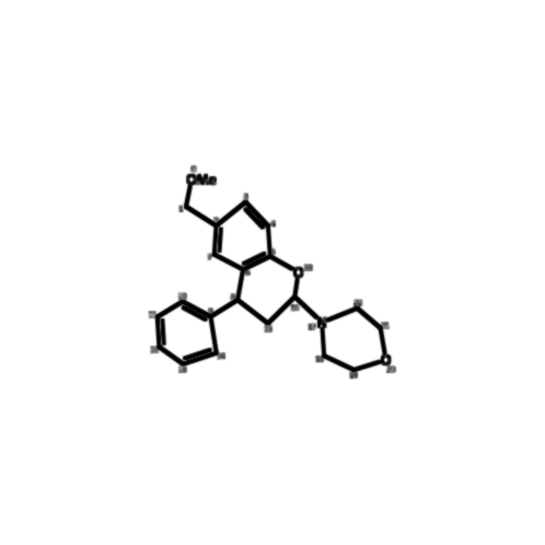 COCc1ccc2c(c1)C(c1ccccc1)CC(N1CCOCC1)O2